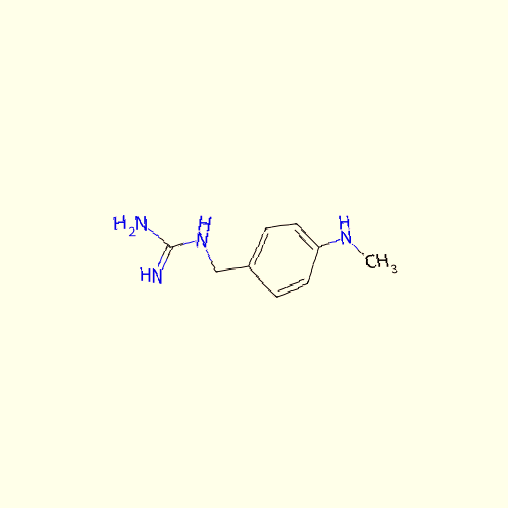 CNc1ccc(CNC(=N)N)cc1